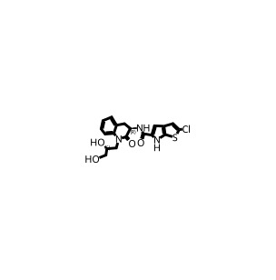 O=C(N[C@@H]1Cc2ccccc2N(C[C@H](O)CO)C1=O)c1cc2cc(Cl)sc2[nH]1